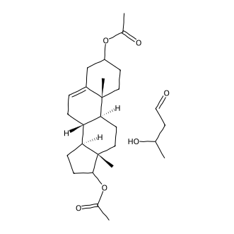 CC(=O)OC1CC[C@@]2(C)C(=CC[C@@H]3[C@@H]2CC[C@]2(C)C(OC(C)=O)CC[C@@H]32)C1.CC(O)CC=O